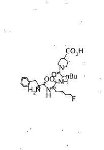 CCCCC(NC(=O)[C@@H](CCCCF)NC(=O)[C@H](N)Cc1ccccc1)C(=O)N1CCC(C(=O)O)CC1